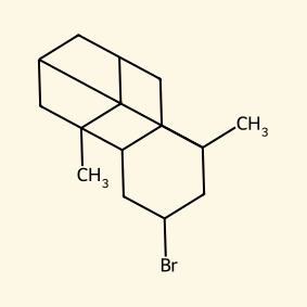 CC12CC3CC(C1)C1(C)CC(Br)CC2C1C3